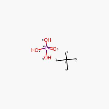 CC(C)(C)C.O=P(O)(O)O